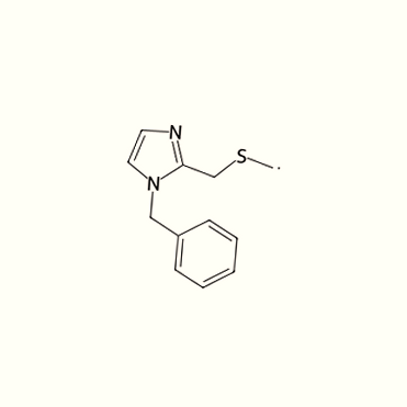 [CH2]SCc1nccn1Cc1ccccc1